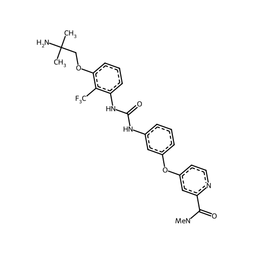 CNC(=O)c1cc(Oc2cccc(NC(=O)Nc3cccc(OCC(C)(C)N)c3C(F)(F)F)c2)ccn1